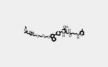 C=C(/C=C\C(=C/C)c1ccc(OCCOCCOCCn2cc(CC(C)(C)OCC)nn2)c2ccccc12)[C@H](CC(=O)O)NC(=O)CNC(=O)CCCNc1cc(C)ccn1